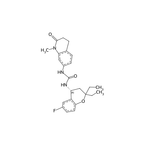 CCC1(CC)C[C@@H](NC(=O)Nc2ccc3c(c2)N(C)C(=O)CC3)c2cc(F)ccc2O1